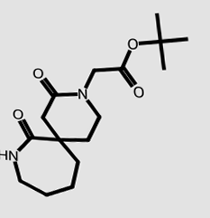 CC(C)(C)OC(=O)CN1CCC2(CCCCNC2=O)CC1=O